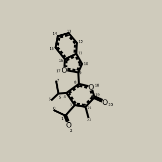 CC(=O)c1c(C(C)C)c(-c2cc3ccccc3o2)oc(=O)c1C